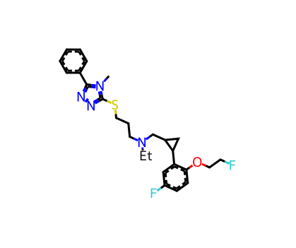 CCN(CCCSc1nnc(-c2ccccc2)n1C)CC1CC1c1cc(F)ccc1OCCF